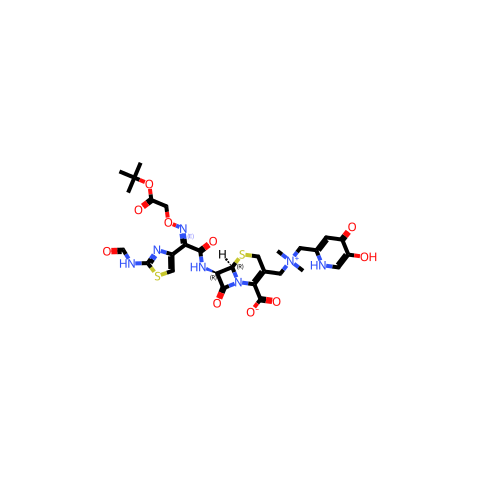 CC(C)(C)OC(=O)CO/N=C(/C(=O)N[C@@H]1C(=O)N2C(C(=O)[O-])=C(C[N+](C)(C)Cc3cc(=O)c(O)c[nH]3)CS[C@H]12)c1csc(NC=O)n1